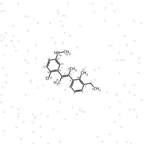 CCc1cccc(/C(C)=C(\C)c2cc(NC)ccc2Cl)c1C